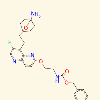 NC12CCC(CCc3c(F)cnc4ccc(OCCNC(=O)OCc5ccccc5)nc34)(CC1)OC2